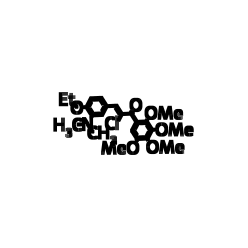 CCOc1ccc(C=C(Cl)C(=O)c2cc(OC)c(OC)c(OC)c2OC)cc1N(C)C